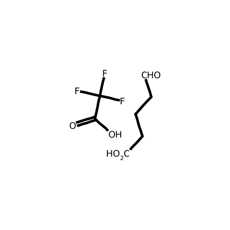 O=C(O)C(F)(F)F.O=CCCCC(=O)O